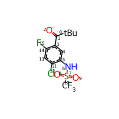 CC(C)(C)C(=O)c1cc(NS(=O)(=O)C(F)(F)F)c(Cl)cc1F